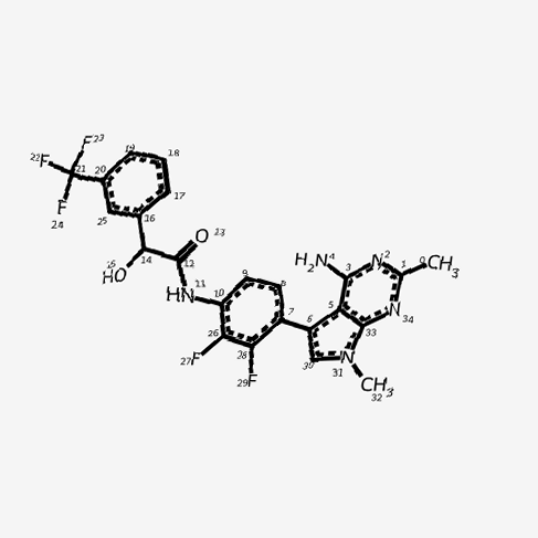 Cc1nc(N)c2c(-c3ccc(NC(=O)C(O)c4cccc(C(F)(F)F)c4)c(F)c3F)cn(C)c2n1